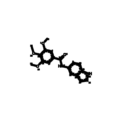 COc1cc(C(=O)Nc2ccc3[nH]ncc3c2)cc(OC)c1OC